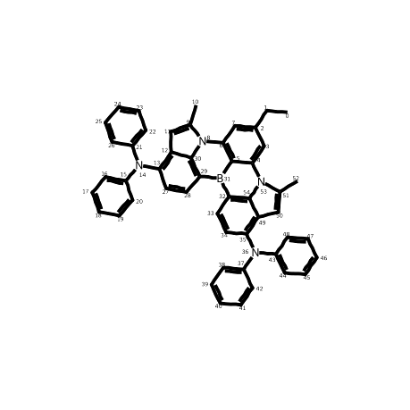 CCc1cc2c3c(c1)-n1c(C)cc4c(N(c5ccccc5)c5ccccc5)ccc(c41)B3c1ccc(N(c3ccccc3)c3ccccc3)c3cc(C)n-2c13